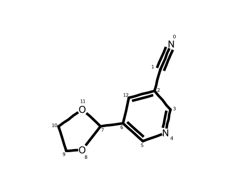 N#Cc1cncc(C2OCCO2)c1